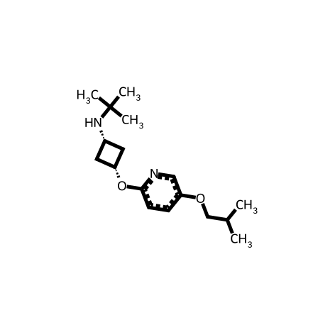 CC(C)COc1ccc(O[C@H]2C[C@@H](NC(C)(C)C)C2)nc1